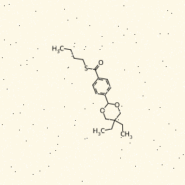 CCCCSC(=O)c1ccc(C2OCC(CC)(CC)CO2)cc1